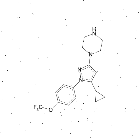 FC(F)(F)Oc1ccc(-n2nc(N3CCNCC3)cc2C2CC2)cc1